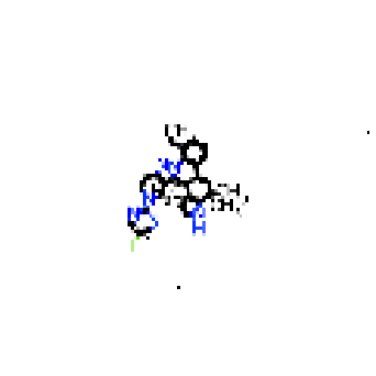 CCc1cccc2c1-n1nc3c(c1C1(C)C2=CC(C)(C)c2[nH]ccc21)CN(c1ncc(F)cn1)CC3